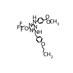 C=CCCOc1ccc(CNc2nc(Nc3ccc(C(=O)OC)cc3)nc(OCC(F)(F)F)n2)cc1